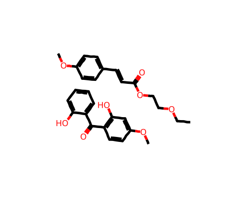 CCOCCOC(=O)/C=C/c1ccc(OC)cc1.COc1ccc(C(=O)c2ccccc2O)c(O)c1